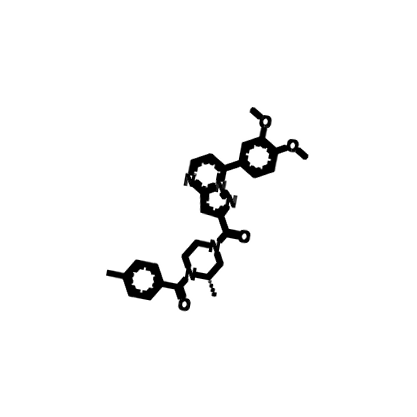 COc1ccc(-c2ccnc3cc(C(=O)N4CCN(C(=O)c5ccc(C)cc5)[C@@H](C)C4)nn23)cc1OC